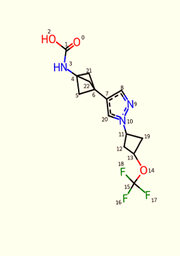 O=C(O)NC12CC(c3cnn(C4CC(OC(F)(F)F)C4)c3)(C1)C2